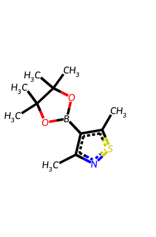 Cc1nsc(C)c1B1OC(C)(C)C(C)(C)O1